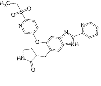 CCS(=O)(=O)c1ccc(Oc2cc3nc(-c4ccccn4)[nH]c3cc2CC2CCNC2=O)cn1